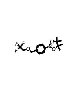 CC1(C)OB(c2ccc(COCC(F)(F)F)cc2)OC1(C)C